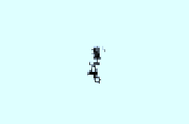 Cc1cc(N(C)C(N)=O)cc(C)c1C1CC1[S+]([O-])N1CCC2(CC1)N=C(C1CCC(C)CC1)NC2=O